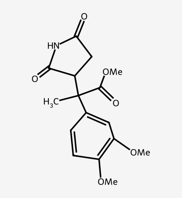 COC(=O)C(C)(c1ccc(OC)c(OC)c1)C1CC(=O)NC1=O